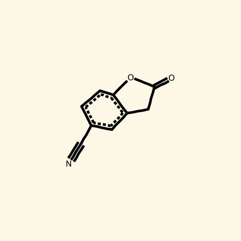 N#Cc1ccc2c(c1)CC(=O)O2